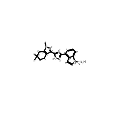 Cn1nc(-c2nc(-c3cccc4c3ccn4C(=O)O)no2)c2c1CC(C)(C)CC2